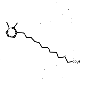 Cc1c(CCCCCCCCCCCCC(=O)O)ccc[n+]1C